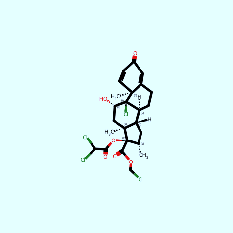 C[C@H]1C[C@H]2[C@@H]3CCC4=CC(=O)C=C[C@]4(C)[C@@]3(Cl)[C@@H](O)C[C@]2(C)[C@@]1(OC(=O)C(Cl)Cl)C(=O)OCCl